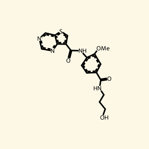 COc1cc(C(=O)NCCCO)ccc1NC(=O)c1csc2cncnc12